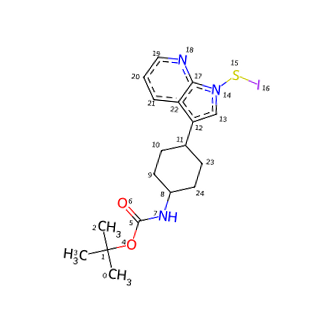 CC(C)(C)OC(=O)NC1CCC(c2cn(SI)c3ncccc23)CC1